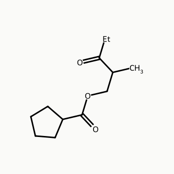 CCC(=O)C(C)COC(=O)C1CCCC1